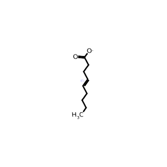 CCCC/C=C/CCC([O])=O